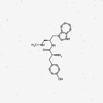 CNC[C@@H](Cc1c[nH]c2ccccc12)NC(=O)[C@@H](N)Cc1ccc(O)cc1